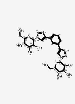 OC[C@H]1O[C@H](n2cc(-c3cccc(-c4cn([C@H]5O[C@H](CO)[C@@H](O)[C@H](O)[C@@H]5O)nn4)c3)nn2)[C@@H](O)[C@@H](O)[C@@H]1O